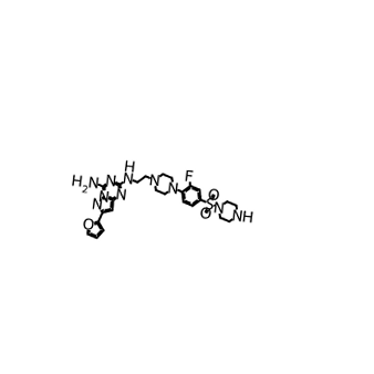 Nc1nc(NCCN2CCN(c3ccc(S(=O)(=O)N4CCNCC4)cc3F)CC2)nc2cc(-c3ccco3)nn12